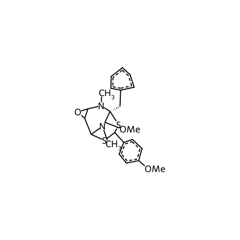 COc1ccc(C2SC3C4OC4N(C)[C@@](Cc4ccccc4)(S2)C(OC)N3C)cc1